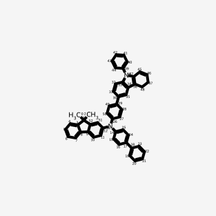 CC1(C)c2ccccc2-c2ccc(N(c3ccc(-c4ccccc4)cc3)c3ccc(-c4ccc5c(c4)c4c(n5-c5ccccc5)C=CCC4)cc3)cc21